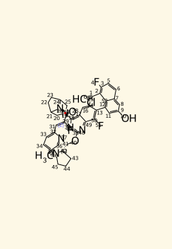 C#Cc1c(F)ccc2cc(O)cc(-c3c(Cl)cc4c(N5CC6CCC(C5)N6C(=O)/C(F)=C/c5ccccn5)nc(OC[C@@H]5CCCN5C)nc4c3F)c12